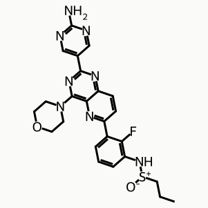 CCC[S+]([O-])Nc1cccc(-c2ccc3nc(-c4cnc(N)nc4)nc(N4CCOCC4)c3n2)c1F